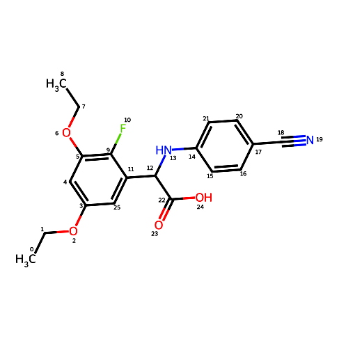 CCOc1cc(OCC)c(F)c(C(Nc2ccc(C#N)cc2)C(=O)O)c1